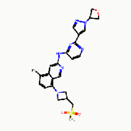 CC(C)c1ccc(N2CC(CS(C)(=O)=O)C2)c2cnc(Nc3ccnc(-c4cnn(C5COC5)c4)n3)cc12